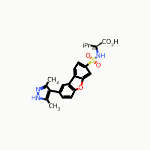 Cc1n[nH]c(C)c1-c1ccc2oc3cc(S(=O)(=O)N[C@H](C(=O)O)C(C)C)ccc3c2c1